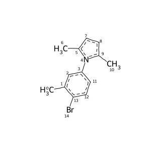 Cc1cc(-n2c(C)ccc2C)ccc1Br